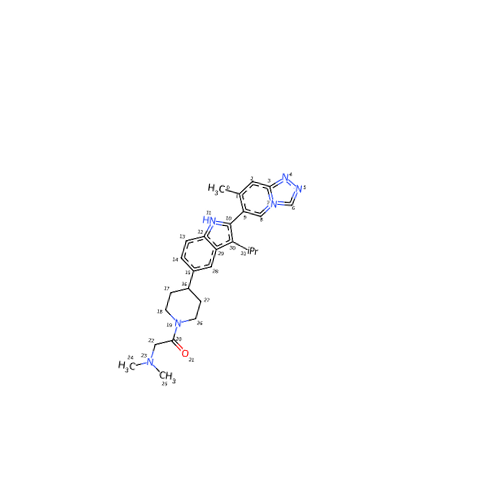 Cc1cc2nncn2cc1-c1[nH]c2ccc(C3CCN(C(=O)CN(C)C)CC3)cc2c1C(C)C